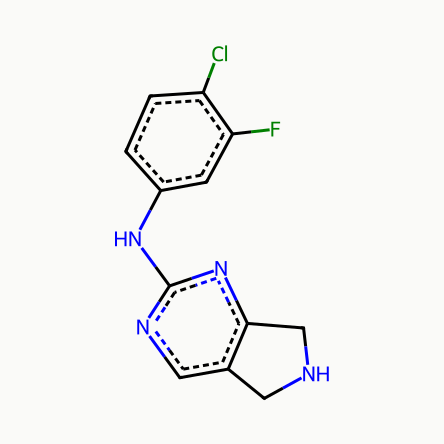 Fc1cc(Nc2ncc3c(n2)CNC3)ccc1Cl